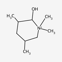 CC1CC(C)C(O)[N+](C)(C)C1